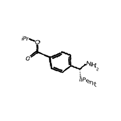 CCCCC[C@@H](N)c1ccc(C(=O)OC(C)C)cc1